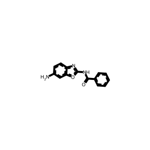 Nc1ccc2nc(NC(=O)c3ccccc3)oc2c1